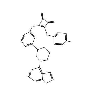 O=c1c(Nc2ccc(Cl)cc2)c(Nc2cccc(C3CCCN(c4ncnc5[nH]ccc45)C3)c2)c1=O